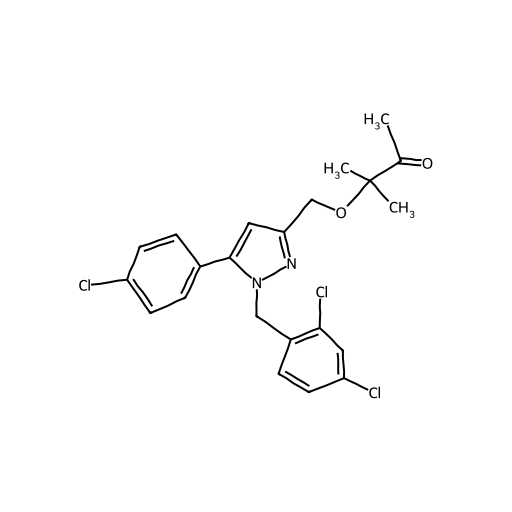 CC(=O)C(C)(C)OCc1cc(-c2ccc(Cl)cc2)n(Cc2ccc(Cl)cc2Cl)n1